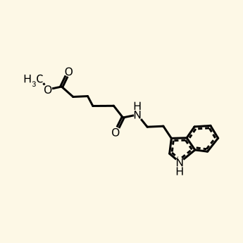 COC(=O)CCCCC(=O)NCCc1c[nH]c2ccccc12